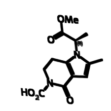 COC(=O)[C@@H](C)n1c(C)cc2c1CCN(C(=O)O)C2=O